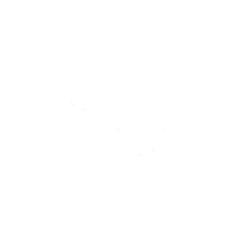 Cc1nc2c3c(nn2c(C)c1C)CN(C(=O)c1ccccc1-n1cccn1)C3